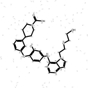 O=C(O)N1CCC(c2cccc(Oc3ccc(Nc4ncnc5ccn(CCOCCO)c45)cc3Cl)c2)CC1